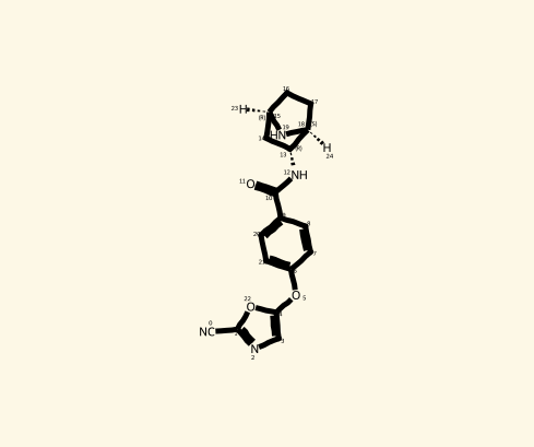 N#Cc1ncc(Oc2ccc(C(=O)N[C@@H]3C[C@H]4CC[C@@H]3N4)cc2)o1